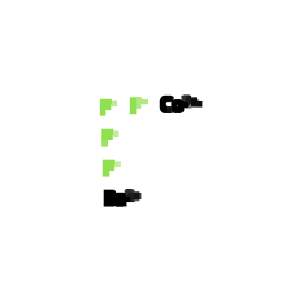 [Ba+2].[Co+2].[F-].[F-].[F-].[F-]